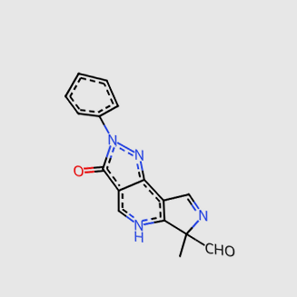 CC1(C=O)N=Cc2c3nn(-c4ccccc4)c(=O)c-3c[nH]c21